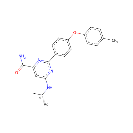 CC(=O)[C@H](C)Nc1cc(C(N)=O)nc(-c2ccc(Oc3ccc(C(F)(F)F)cc3)cc2)n1